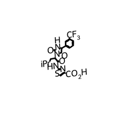 CC(C)CC(C(=O)Nc1nc(C(=O)O)cs1)N1C(=O)NC(c2cccc(C(F)(F)F)c2)C1=O